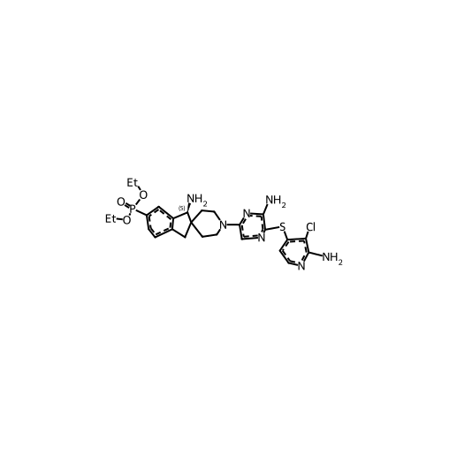 CCOP(=O)(OCC)c1ccc2c(c1)[C@@H](N)C1(CCN(c3cnc(Sc4ccnc(N)c4Cl)c(N)n3)CC1)C2